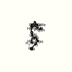 CC[C@H](C)[C@@H]([C@@H](CC(=O)N1CCC[C@H]1[C@H](OC)[C@@H](C)C(=O)NC(I)C(=O)NCCc1ccc(NC(=O)[C@@H](CCCCNC(N)=O)NC(=O)C(I)NC(=O)[C@H]2CC(O)[C@@H](CNC(=O)CCCCCN3C(=O)C=CC3=O)O2)cc1)OC)N(C)C(=O)C(NC(=O)[C@H](C(C)C)N(C)C)C(C)C